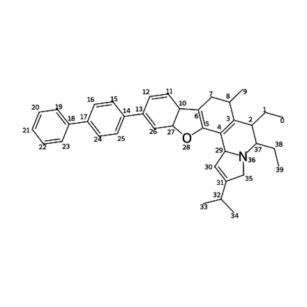 CCC1C2=C(C3=C(CC2C)C2C=CC(c4ccc(-c5ccccc5)cc4)=CC2O3)C2C=C(C(C)C)CN2C1CC